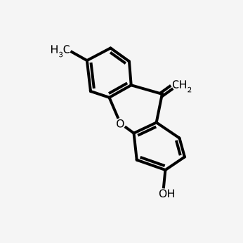 C=C1c2ccc(C)cc2Oc2cc(O)ccc21